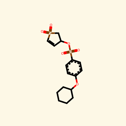 O=S1(=O)C=CC(OS(=O)(=O)c2ccc(OC3CCCCC3)cc2)C1